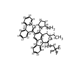 CCCCc1c2c(cc(C(=O)c3ccccc3-c3ccccn3)c1N1CCCC1N)-c1ccccc1C2C(=O)NCC(F)(F)F